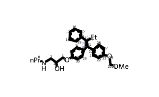 CCCNCC(O)COc1ccc(/C(=C(/CC)c2ccccc2)c2ccc(OCOC)cc2)cc1